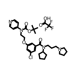 CC(C)(C)OC(=O)N(CCOc1cc(Cl)cc(C(=O)N(CCCN2CCCC2)C2CCCC2)c1)c1ccncc1.O=C(O)C(F)(F)F